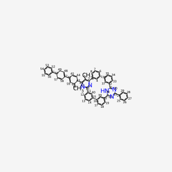 Cc1c(-c2ccccc2)nc(-c2cccc(-c3cccc(C4N=C(c5ccccc5)N=C(c5ccccc5)N4)c3)c2)nc1C1C=CC(C2=CCC(c3ccccc3)C=C2)=CC1C